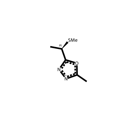 CS[C@H](C)c1nnc(C)o1